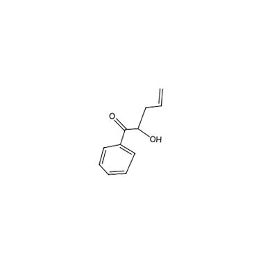 C=CCC(O)C(=O)c1ccccc1